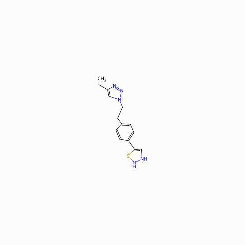 CCc1cn(CCc2ccc(C3=CNNS3)cc2)nn1